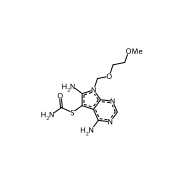 COCCOCn1c(N)c(SC(N)=O)c2c(N)ncnc21